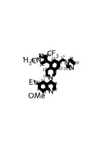 CCc1cc(OC)c2nccc(N3CCc4c(cc(Cn5ccnc5)cc4-c4cn(C)nc4C(F)(F)F)C3)c2c1